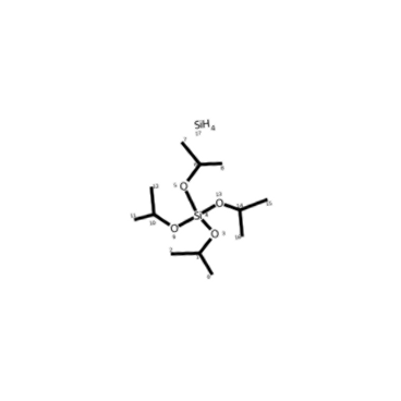 CC(C)O[Si](OC(C)C)(OC(C)C)OC(C)C.[SiH4]